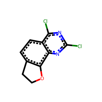 Clc1nc(Cl)c2ccc3c(c2n1)OCC3